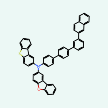 c1cc(-c2ccc(-c3ccc(N(c4ccc5oc6ccccc6c5c4)c4ccc5sc6ccccc6c5c4)cc3)cc2)cc(-c2ccc3ccccc3c2)c1